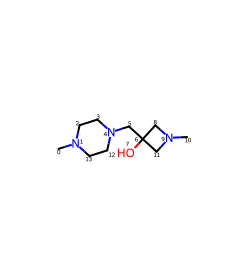 CN1CCN(CC2(O)CN(C)C2)CC1